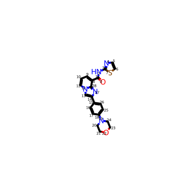 O=C(Nc1nccs1)c1cccn2cc(-c3ccc(N4CCOCC4)cc3)nc12